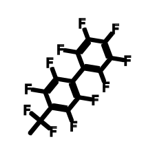 CC(F)(F)c1c(F)c(F)c(-c2c(F)c(F)c(F)c(F)c2F)c(F)c1F